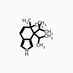 CC(C)C1(C(C)C)c2c[nH]cc2C=CC1(C)C